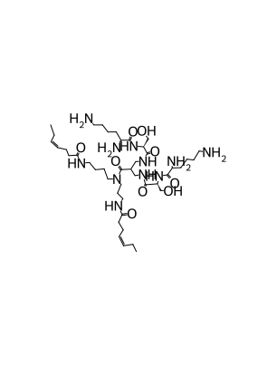 CC/C=C\CCC(=O)NCCCCN(CCCNC(=O)CC/C=C\CC)C(=O)C(CNC(=O)[C@H](CO)NC(=O)[C@@H](N)CCCCN)CNC(=O)[C@H](CO)NC(=O)[C@@H](N)CCCCN